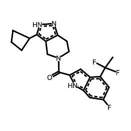 CC(F)(F)c1cc(F)cc2[nH]c(C(=O)N3CCc4n[nH]c(C5CCC5)c4C3)cc12